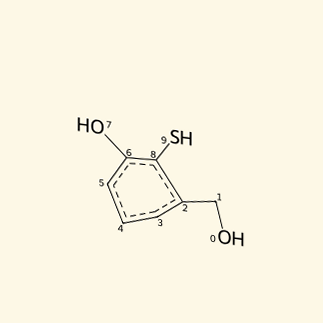 OCc1cccc(O)c1S